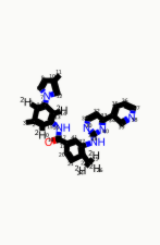 [2H]c1c(C)c([2H])c(-n2ccc(C)c2)c([2H])c1NC(=O)c1ccc(C([2H])([2H])[2H])c(Nc2nccc(-c3cccnc3)n2)c1